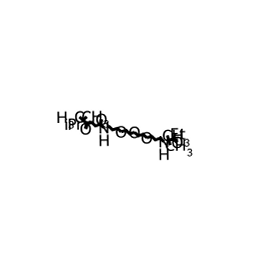 CCC(=O)C(C)(C)NCCCOCCOCCOCCCNC(=O)CCC(=O)C(C)(C)C(C)C